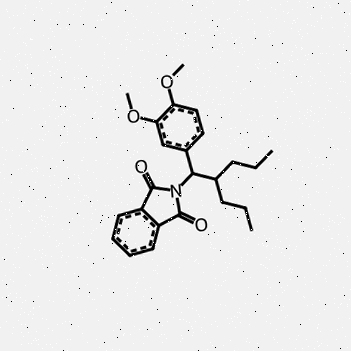 CCCC(CCC)C(c1ccc(OC)c(OC)c1)N1C(=O)c2ccccc2C1=O